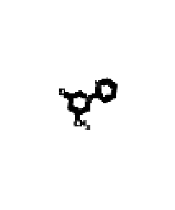 CC1=CC(=O)CN(c2ccccn2)C1